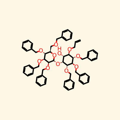 C=CCO[C@@H]1[C@@H](O)[C@@H](O[C@H]2O[C@H](COCc3ccccc3)[C@@H](OCc3ccccc3)[C@H](OCc3ccccc3)[C@@H]2OCc2ccccc2)[C@@H](OCc2ccccc2)[C@H](OCc2ccccc2)[C@H]1OCc1ccccc1